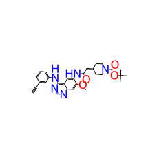 C#Cc1cccc(Nc2ncnc3cc(OC)c(NC(=O)C=C4CCN(C(=O)OC(C)(C)C)CC4)cc23)c1